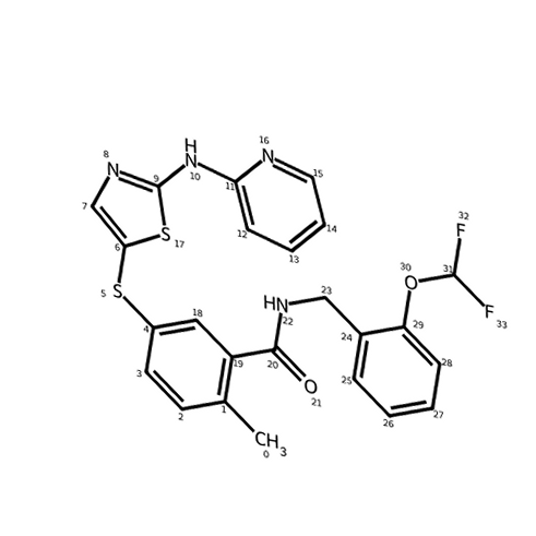 Cc1ccc(Sc2cnc(Nc3ccccn3)s2)cc1C(=O)NCc1ccccc1OC(F)F